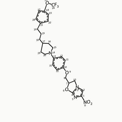 O=[N+]([O-])c1cn2c(n1)OC(COc1ccc(N3CCC(CCCc4ccc(OC(F)(F)F)cc4)CC3)cc1)C2